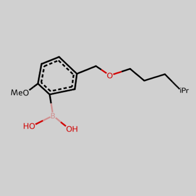 COc1ccc(COCCCC(C)C)cc1B(O)O